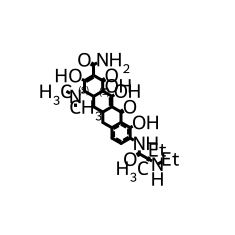 CCNC(C)(CC)C(=O)Nc1ccc2c(c1O)C(=O)C1=C(O)[C@]3(O)C(=O)C(C(N)=O)=C(O)[C@@H](N(C)C)C3CC1C2